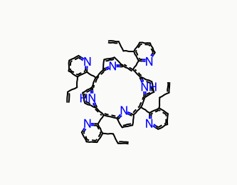 C=CCc1cccnc1-c1c2nc(c(-c3ncccc3CC=C)c3ccc([nH]3)c(-c3ncccc3CC=C)c3nc(c(-c4ncccc4CC=C)c4ccc1[nH]4)C=C3)C=C2